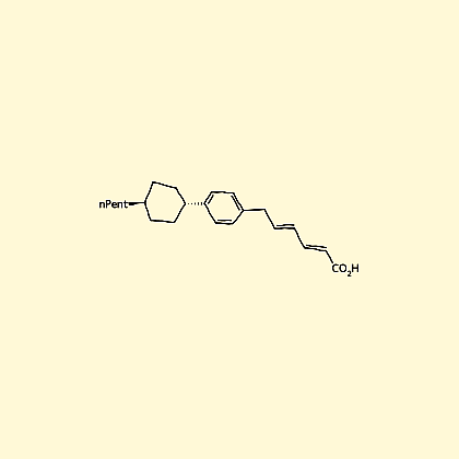 CCCCC[C@H]1CC[C@H](c2ccc(C/C=C/C=C/C(=O)O)cc2)CC1